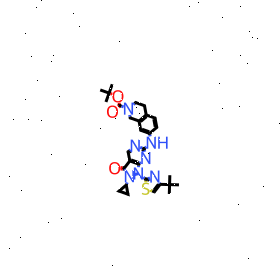 CC(C)(C)OC(=O)N1CCc2ccc(Nc3ncc4c(=O)n(C5CC5)n(-c5nc(C(C)(C)C)cs5)c4n3)cc2C1